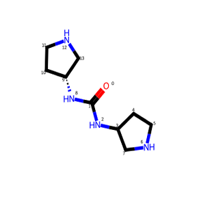 O=C(NC1CCNC1)N[C@@H]1CCNC1